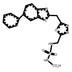 O=C(O)NS(=O)(=O)NCc1nnc(Cc2nc3ccc(-c4ccccc4)cc3s2)o1